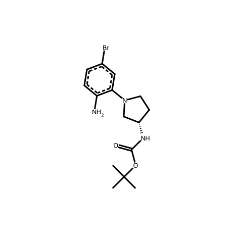 CC(C)(C)OC(=O)N[C@H]1CCN(c2cc(Br)ccc2N)C1